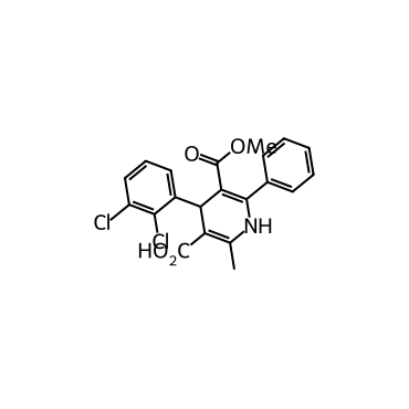 COC(=O)C1=C(c2ccccc2)NC(C)=C(C(=O)O)C1c1cccc(Cl)c1Cl